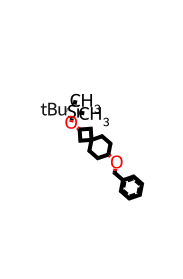 CC(C)(C)[Si](C)(C)OC1CC2(CCC(OCc3ccccc3)CC2)C1